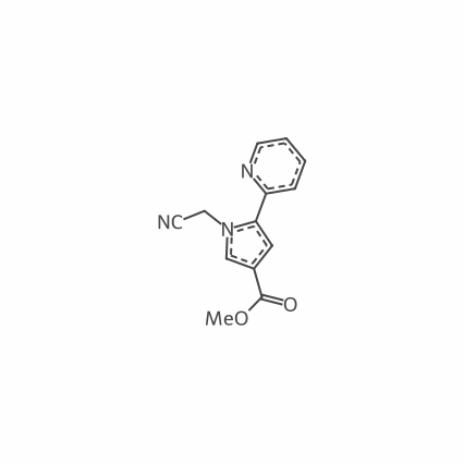 COC(=O)c1cc(-c2ccccn2)n(CC#N)c1